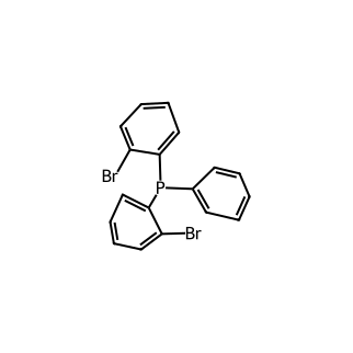 Brc1ccccc1P(c1ccccc1)c1ccccc1Br